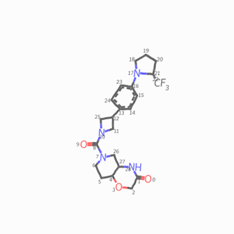 O=C1COC2CCN(C(=O)N3CC(c4ccc(N5CCCC5C(F)(F)F)cc4)C3)CC2N1